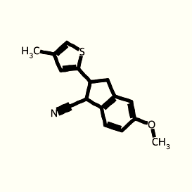 COc1ccc2c(c1)CC(c1cc(C)cs1)C2C#N